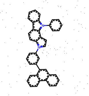 c1ccc(-n2c3ccccc3c3ccc4c(ccn4-c4cccc(-c5cc6ccccc6c6ccccc56)c4)c32)cc1